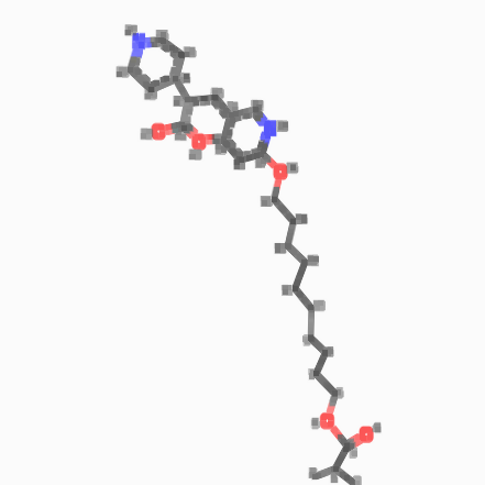 CC(C)C(=O)OCCCCCCCCCCOc1cc2oc(=O)c(-c3ccncc3)cc2cn1